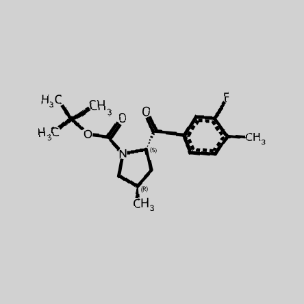 Cc1ccc(C(=O)[C@@H]2C[C@@H](C)CN2C(=O)OC(C)(C)C)cc1F